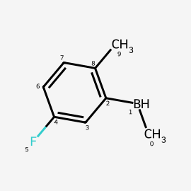 CBc1cc(F)ccc1C